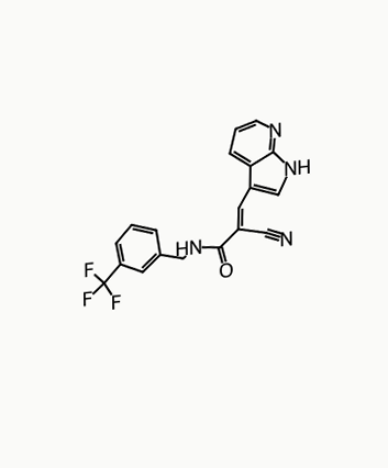 N#C/C(=C\c1c[nH]c2ncccc12)C(=O)NCc1cccc(C(F)(F)F)c1